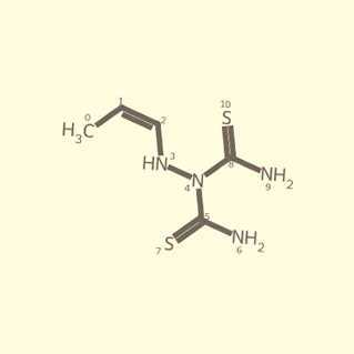 C/C=C\NN(C(N)=S)C(N)=S